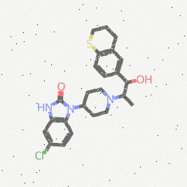 CC(C(O)c1ccc2c(c1)CCCS2)N1CCC(n2c(=O)[nH]c3cc(Cl)ccc32)CC1